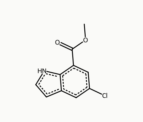 COC(=O)c1cc(Cl)cc2cc[nH]c12